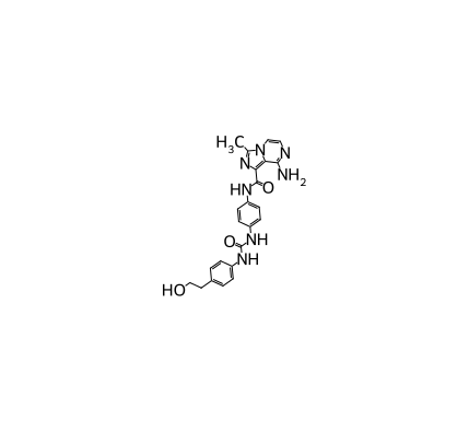 Cc1nc(C(=O)Nc2ccc(NC(=O)Nc3ccc(CCO)cc3)cc2)c2c(N)nccn12